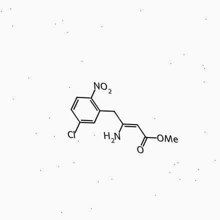 COC(=O)C=C(N)Cc1cc(Cl)ccc1[N+](=O)[O-]